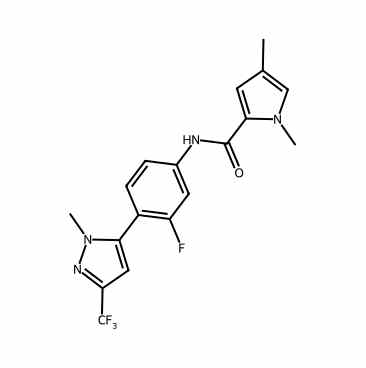 Cc1cc(C(=O)Nc2ccc(-c3cc(C(F)(F)F)nn3C)c(F)c2)n(C)c1